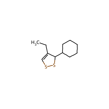 CCC1=CSSC1C1CCCCC1